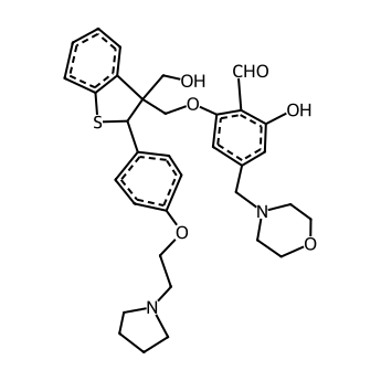 O=Cc1c(O)cc(CN2CCOCC2)cc1OCC1(CO)c2ccccc2SC1c1ccc(OCCN2CCCC2)cc1